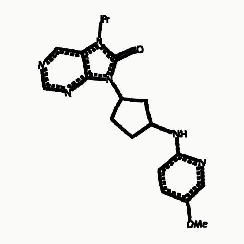 COc1ccc(NC2CCC(n3c(=O)n(C(C)C)c4cncnc43)C2)nc1